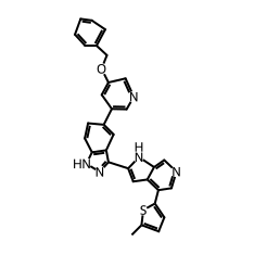 Cc1ccc(-c2cncc3[nH]c(-c4n[nH]c5ccc(-c6cncc(OCc7ccccc7)c6)cc45)cc23)s1